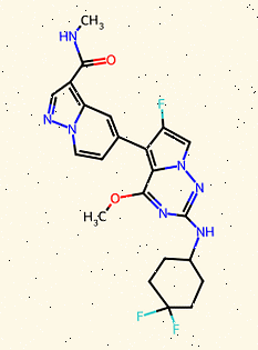 CNC(=O)c1cnn2ccc(-c3c(F)cn4nc(NC5CCC(F)(F)CC5)nc(OC)c34)cc12